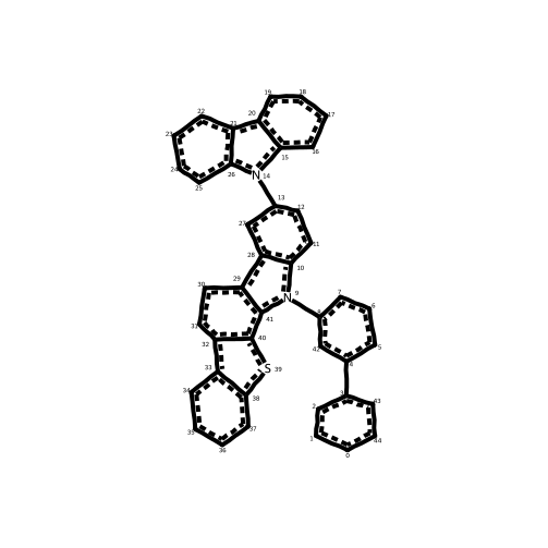 c1ccc(-c2cccc(-n3c4ccc(-n5c6ccccc6c6ccccc65)cc4c4ccc5c6ccccc6sc5c43)c2)cc1